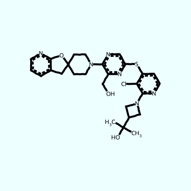 CC(C)(O)C1CN(c2nccc(Sc3cnc(N4CCC5(CC4)Cc4cccnc4O5)c(CO)n3)c2Cl)C1